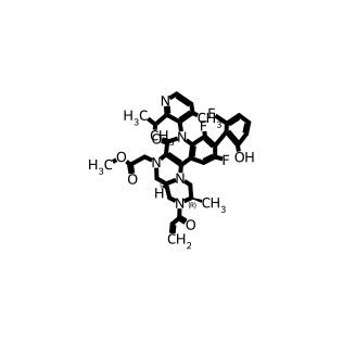 C=CC(=O)N1C[C@@H]2CN(CC(=O)OC)c3c(c4cc(F)c(-c5c(O)cccc5F)c(F)c4n(-c4c(C)ccnc4C(C)C)c3=O)N2C[C@H]1C